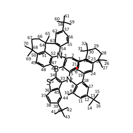 Cc1cc2c3c(c1)N(c1c(C)cc(C(C)(C)C)cc1-c1ccc4c(c1)C(C)(C)CCC4(C)C)c1c(sc4ccc(C(C)(C)C)cc14)B3c1ccc3c4c1N2c1ccc(C(C)(C)C)cc1C4(C)CCC3(C)C